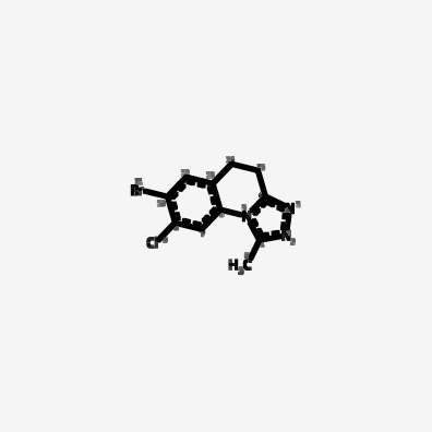 Cc1nnc2n1-c1cc(Cl)c(Br)cc1CC2